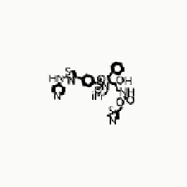 CC(C)CN(C(Cc1ccccc1)C(O)CNC(=O)OCc1cncs1)S(=O)(=O)c1ccc(-c2csc(Nc3ccncc3)n2)cc1